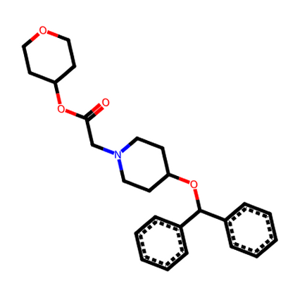 O=C(CN1CCC(OC(c2ccccc2)c2ccccc2)CC1)OC1CCOCC1